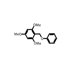 COc1cc(OC)c(COc2cc[c]cc2)c(OC)c1